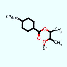 CCCCCC1CCC(C(=O)OC(C)C(C)OCC)CC1